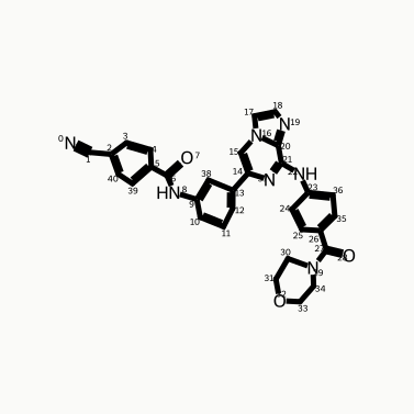 N#Cc1ccc(C(=O)Nc2cccc(-c3cn4ccnc4c(Nc4ccc(C(=O)N5CCOCC5)cc4)n3)c2)cc1